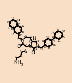 NCCCC[C@@H]1C(=O)N(Cc2ccc3ccccc3c2)CC[C@H]2CN(Cc3ccc(-c4ccccc4)cc3)C(=O)N21